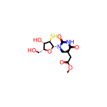 COC(=O)Cc1cn([C@@H]2O[C@H](CO)[C@H](O)[C@H]2S)c(=O)[nH]c1=O